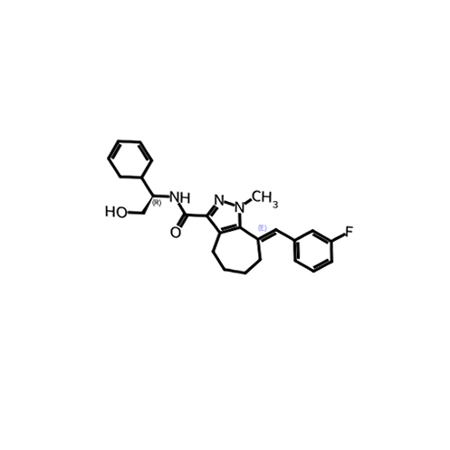 Cn1nc(C(=O)N[C@@H](CO)C2C=CC=CC2)c2c1/C(=C/c1cccc(F)c1)CCCC2